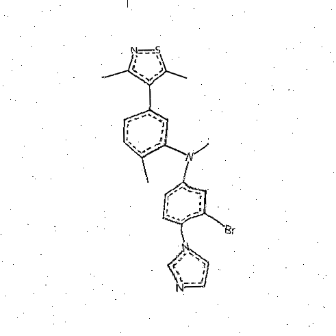 Cc1ccc(-c2c(C)nsc2C)cc1N(C)c1ccc(-n2ccnc2)c(Br)c1